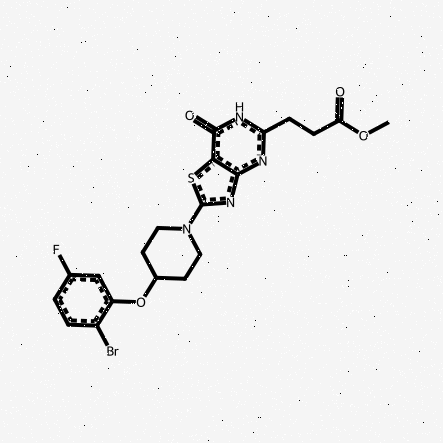 COC(=O)CCc1nc2nc(N3CCC(Oc4cc(F)ccc4Br)CC3)sc2c(=O)[nH]1